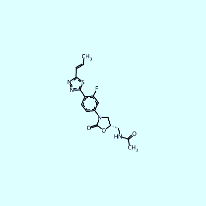 CC=Cc1nnc(-c2ccc(N3C[C@H](CNC(C)=O)OC3=O)cc2F)s1